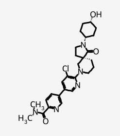 CN(C)C(=O)c1ccc(-c2cnc(N3CCC[C@@]4(CCN([C@H]5CC[C@@H](O)CC5)C4=O)C3)c(Cl)c2)cn1